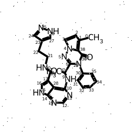 Cc1ccn2nc(C(C)Nc3ncnc4[nH]cc(C(=O)NCCc5cn[nH]c5)c34)n(-c3ccccc3)c(=O)c12